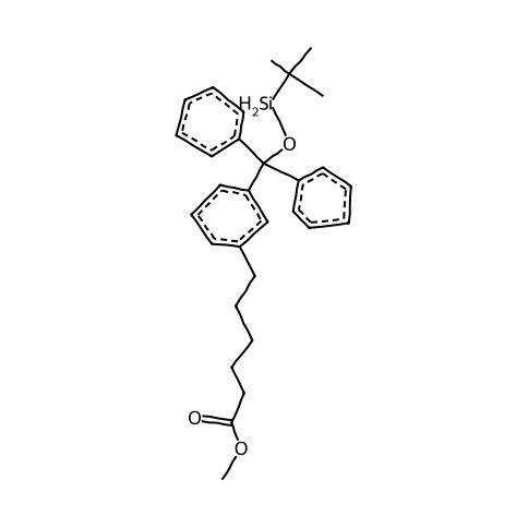 COC(=O)CCCCCc1cccc(C(O[SiH2]C(C)(C)C)(c2ccccc2)c2ccccc2)c1